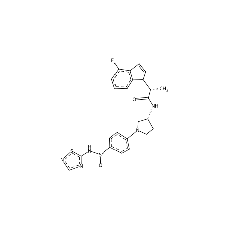 C[C@H](C(=O)N[C@@H]1CCN(c2ccc([S+]([O-])Nc3ncns3)cc2)C1)C1C=Cc2c(F)cccc21